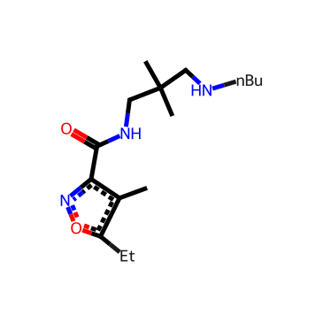 CCCCNCC(C)(C)CNC(=O)c1noc(CC)c1C